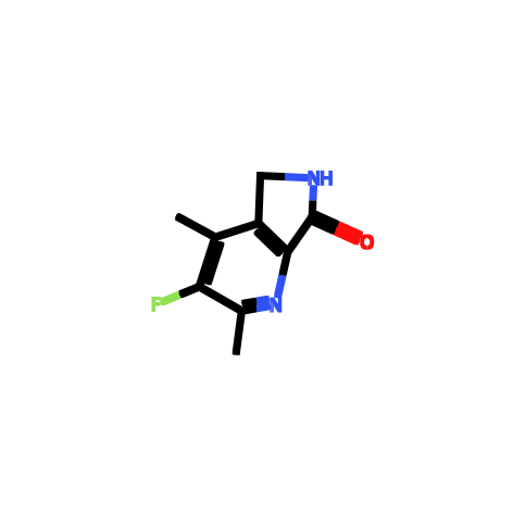 Cc1nc2c(c(C)c1F)CNC2=O